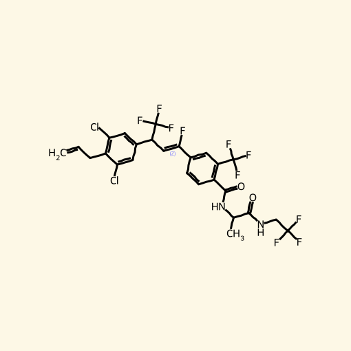 C=CCc1c(Cl)cc(C(/C=C(\F)c2ccc(C(=O)NC(C)C(=O)NCC(F)(F)F)c(C(F)(F)F)c2)C(F)(F)F)cc1Cl